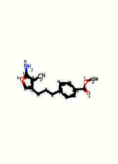 CC(C)(C)OC(=O)c1ccc(CCCc2coc(N)c2C#N)cc1